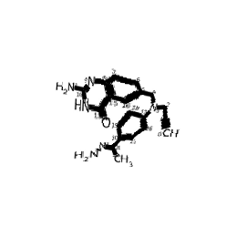 C#CCN(Cc1ccc2nc(N)[nH]c(=O)c2c1)c1ccc(C(C)=NN)cc1